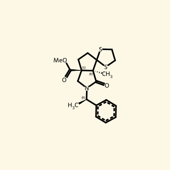 COC(=O)[C@@]12CCC3(SCCS3)[C@@]1(C)C(=O)N([C@H](C)c1ccccc1)C2